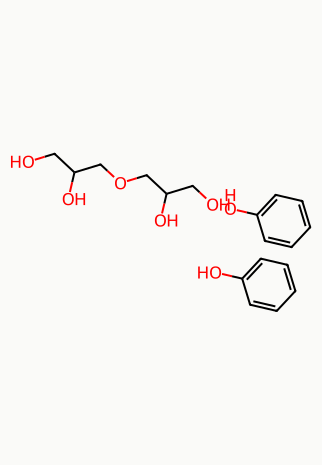 OCC(O)COCC(O)CO.Oc1ccccc1.Oc1ccccc1